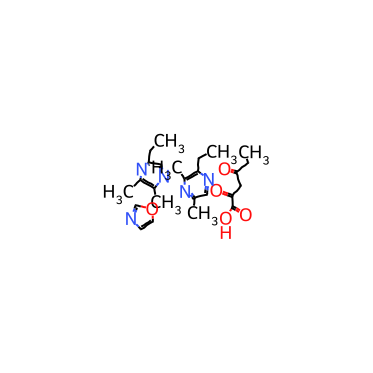 CCC(=O)CC(=O)C(=O)O.CCc1cnc(C)c(C)n1.CCc1ncc(C)nc1C.c1cocn1